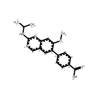 COc1cc2nc(NC(C)C)ncc2cc1-c1ccc(C(=O)O)cc1